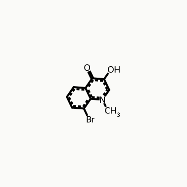 Cn1cc(O)c(=O)c2cccc(Br)c21